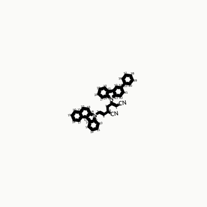 N#C/C=C(/CC(C#N)/C=C/n1c2ccccc2c2c3ccccc3ccc21)n1c2ccccc2c2cc(-c3ccccc3)ccc21